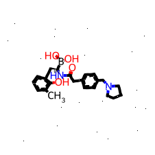 Cc1cccc(C[C@H](NC(=O)Cc2ccc(CN3CCCC3)cc2)B(O)O)c1O